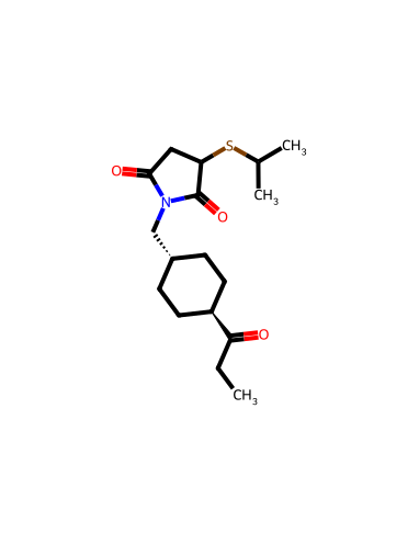 CCC(=O)[C@H]1CC[C@H](CN2C(=O)CC(SC(C)C)C2=O)CC1